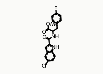 COC(=O)C(Cc1ccc(F)cc1)NC(=O)c1cc2cc(Cl)ccc2[nH]1